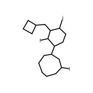 IC1CCCCCC(C2CCC(I)C(CC3CCC3)C2I)C1